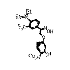 CCN(CC)c1ccc(C(COc2ccc(C(=O)O)c(O)c2)=NO)cc1C(F)(F)F